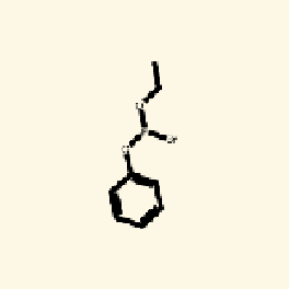 CCOP(Br)Oc1ccccc1